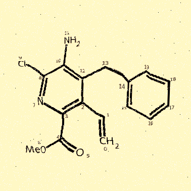 C=Cc1c(C(=O)OC)nc(Cl)c(N)c1Cc1ccccc1